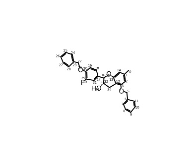 Cc1cc(OCc2ccccc2)c2c(c1)OC(c1ccc(OCc3ccccc3)c(F)c1)[C@@H](O)C2